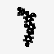 COc1cc(-n2ccc3nc(-c4ccc(Cl)cc4)sc3c2=O)ccc1O[C@H]1C[N@@+](C)([O-])C1